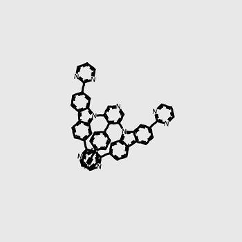 N#Cc1ccc(-c2c(-n3c4cc(-c5ncccn5)ccc4c4ccc(-c5ncccn5)cc43)cncc2-n2c3cc(-c4ncccn4)ccc3c3ccc(-c4ncccn4)cc32)cc1